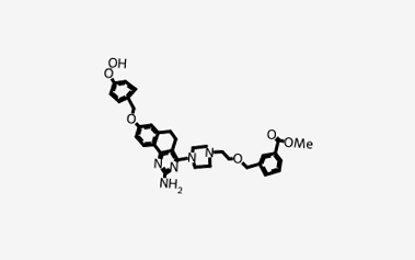 COC(=O)c1cccc(COCCN2CCN(c3nc(N)nc4c3CCc3cc(OCc5ccc(OO)cc5)ccc3-4)CC2)c1